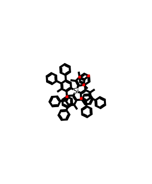 CC1=C(C)C(C)C([Si](c2cc(-c3ccccc3)c(-c3ccccc3)c(C)c2-c2ccccc2)(c2cc(-c3ccccc3)c(-c3ccccc3)c(C)c2-c2ccccc2)c2cc(-c3ccccc3)c(-c3ccccc3)c(C)c2-c2ccccc2)=C1C